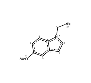 COc1ccc2c(ccn2CC(C)(C)C)c1